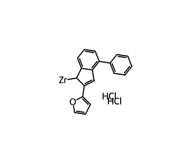 Cl.Cl.[Zr][CH]1C(c2ccco2)=Cc2c(-c3ccccc3)cccc21